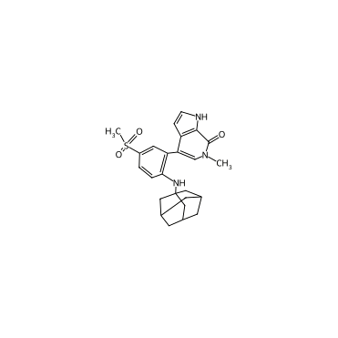 Cn1cc(-c2cc(S(C)(=O)=O)ccc2NC23CC4CC(CC(C4)C2)C3)c2cc[nH]c2c1=O